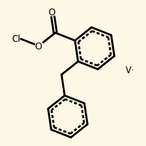 O=C(OCl)c1ccccc1Cc1ccccc1.[V]